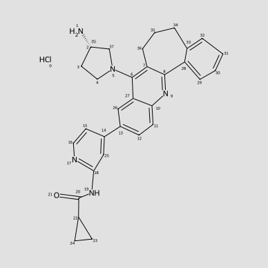 Cl.N[C@H]1CCN(c2c3c(nc4ccc(-c5ccnc(NC(=O)C6CC6)c5)cc24)-c2ccccc2CCC3)C1